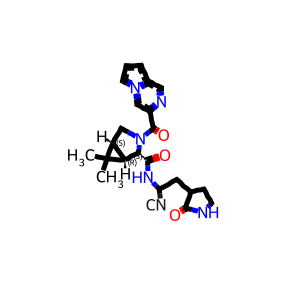 CC1(C)[C@@H]2[C@@H](C(=O)NC(C#N)CC3CCNC3=O)N(C(=O)c3cn4cccc4cn3)C[C@@H]21